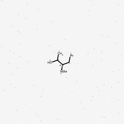 CN[C@H](CC(C)C)C(C)O